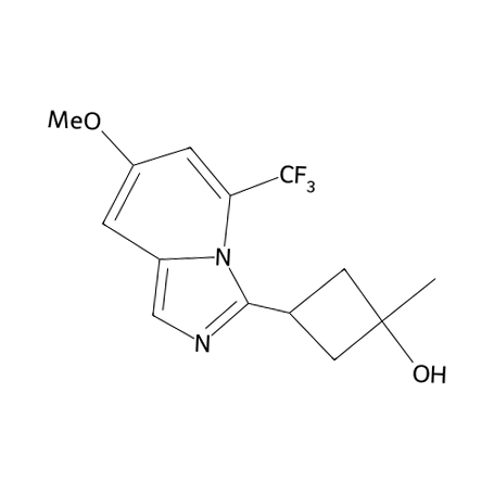 COc1cc(C(F)(F)F)n2c(C3CC(C)(O)C3)ncc2c1